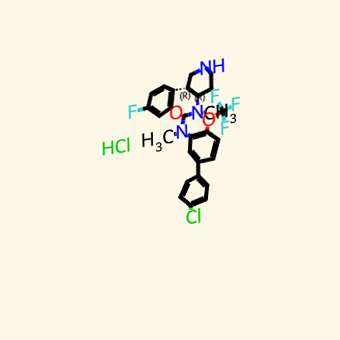 CN(C(=O)N(C)[C@@H]1CCNC[C@H]1c1ccc(F)cc1)c1cc(-c2ccc(Cl)cc2)ccc1OC(F)(F)F.Cl